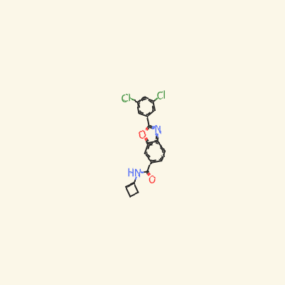 O=C(NC1CCC1)c1ccc2nc(-c3cc(Cl)cc(Cl)c3)oc2c1